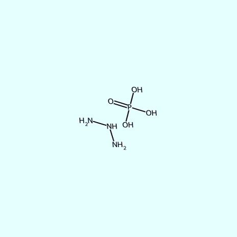 NNN.O=P(O)(O)O